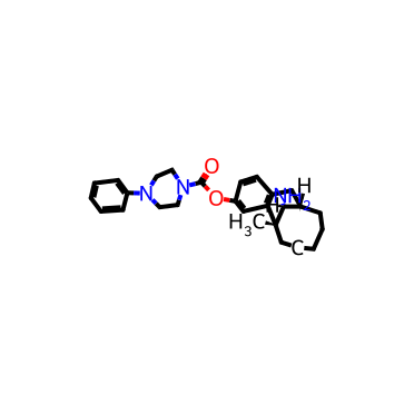 C[C@@]12CCCCC[C@@H](Cc3ccc(OC(=O)N4CCN(c5ccccc5)CC4)cc31)[C@@H]2N